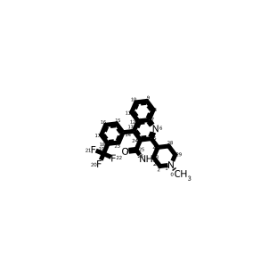 CN1CCC(c2nc3ccccc3c(-c3cccc(C(F)(F)F)c3)c2C(N)=O)CC1